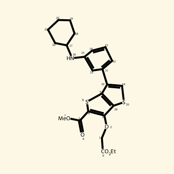 CCOC(=O)COc1c(C(=O)OC)sc2c(-c3cccc(NC4CCCCC4)c3)csc12